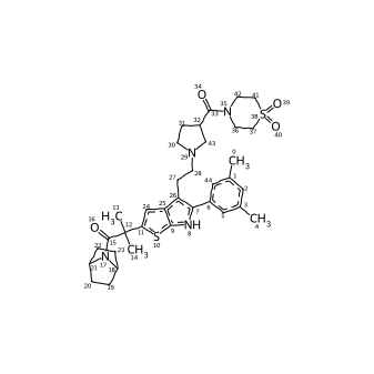 Cc1cc(C)cc(-c2[nH]c3sc(C(C)(C)C(=O)N4C5CCC4CC5)cc3c2CCN2CCC(C(=O)N3CCS(=O)(=O)CC3)C2)c1